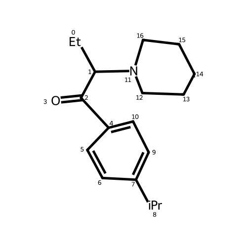 CCC(C(=O)c1ccc(C(C)C)cc1)N1CC[CH]CC1